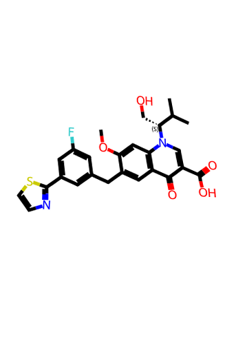 COc1cc2c(cc1Cc1cc(F)cc(-c3nccs3)c1)c(=O)c(C(=O)O)cn2[C@H](CO)C(C)C